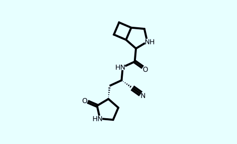 N#C[C@H](C[C@@H]1CCNC1=O)NC(=O)C1NCC2CCC21